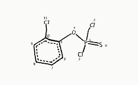 S=P(Cl)(Cl)Oc1ccccc1Cl